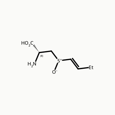 CCC=C[S+]([O-])C[C@H](N)C(=O)O